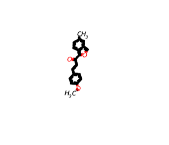 COc1ccc(C=CC(=O)c2occ3cc(C)ccc23)cc1